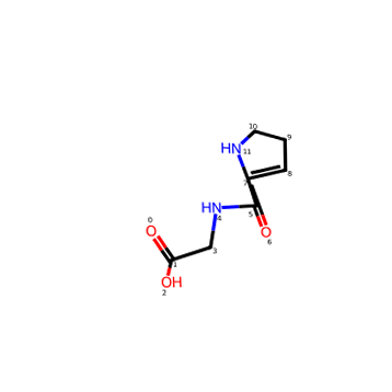 O=C(O)CNC(=O)C1=CCCN1